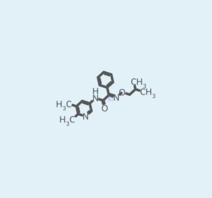 Cc1cc(NC(=O)/C(=N/OCC(C)C)c2ccccc2)cnc1C